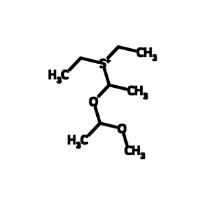 CC[S+](CC)C(C)OC(C)OC